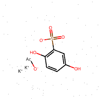 CC(=O)[O-].O=S(=O)([O-])c1cc(O)ccc1O.[K+].[K+]